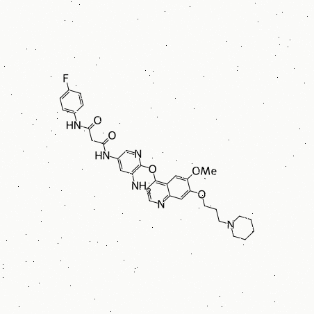 COc1cc2c(Oc3ncc(NC(=O)CC(=O)Nc4ccc(F)cc4)cc3N)ccnc2cc1OCCCN1CCCCC1